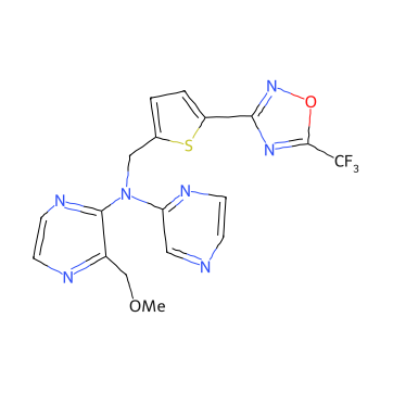 COCc1nccnc1N(Cc1ccc(-c2noc(C(F)(F)F)n2)s1)c1cnccn1